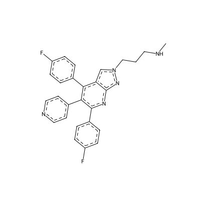 CNCCCn1cc2c(-c3ccc(F)cc3)c(-c3ccncc3)c(-c3ccc(F)cc3)nc2n1